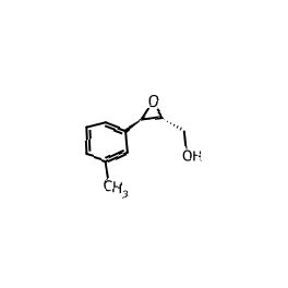 Cc1cccc([C@H]2O[C@@H]2CO)c1